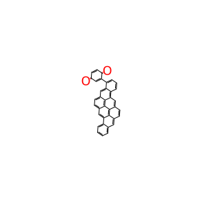 O=C1C=CC(=O)C(c2cccc3c2cc2ccc4cc5c6ccccc6cc6ccc7cc3c2c4c7c65)=C1